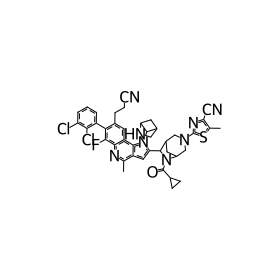 Cc1sc(N2CC3CC(C2)N(C(=O)C2CC2)C3c2cc3c(C)nc4c(F)c(-c5cccc(Cl)c5Cl)c(CCC#N)cc4c3n2C2C3CNC2C3)nc1C#N